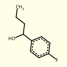 C[CH]CC(O)c1ccc(F)cc1